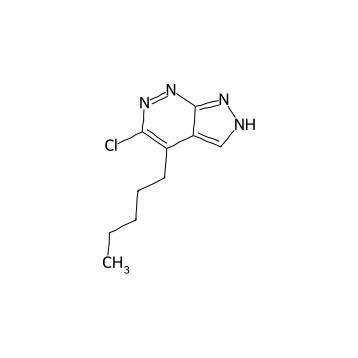 CCCCCc1c(Cl)nnc2n[nH]cc12